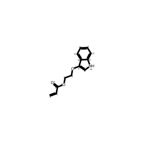 C=CC(=O)OCCOc1c[nH]c2ccccc12